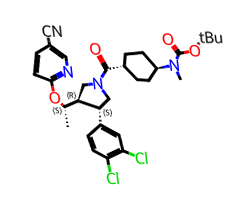 C[C@H](Oc1ccc(C#N)cn1)[C@H]1CN(C(=O)[C@H]2CC[C@H](N(C)C(=O)OC(C)(C)C)CC2)C[C@@H]1c1ccc(Cl)c(Cl)c1